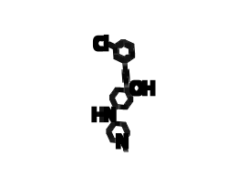 CN1CCC(NC2CCC(O)(C#Cc3cccc(Cl)c3)CC2)CC1